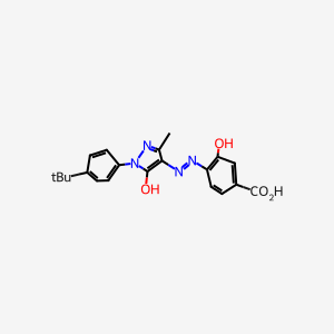 Cc1nn(-c2ccc(C(C)(C)C)cc2)c(O)c1/N=N/c1ccc(C(=O)O)cc1O